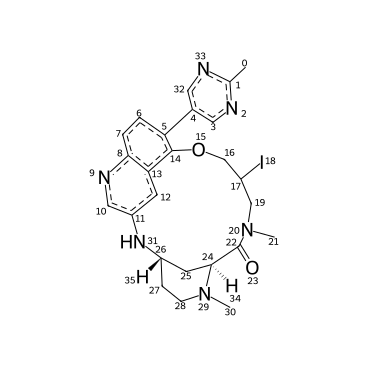 Cc1ncc(-c2ccc3ncc4cc3c2OCC(I)CN(C)C(=O)[C@@H]2C[C@H](CCN2C)N4)cn1